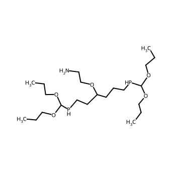 CCCOC(OCCC)PCCCC(CCPC(OCCC)OCCC)OCCN